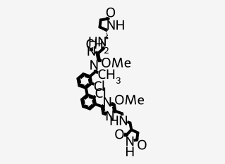 C=N/C(CNC[C@@H]1CCC(=O)N1)=C(\N=C(/C)c1cccc(-c2cccc(-c3cnc(CNCC4CC(=O)NC4=O)c(OC)n3)c2Cl)c1Cl)OC